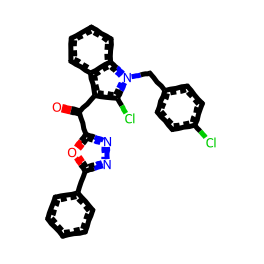 O=C(c1nnc(-c2ccccc2)o1)c1c(Cl)n(Cc2ccc(Cl)cc2)c2ccccc12